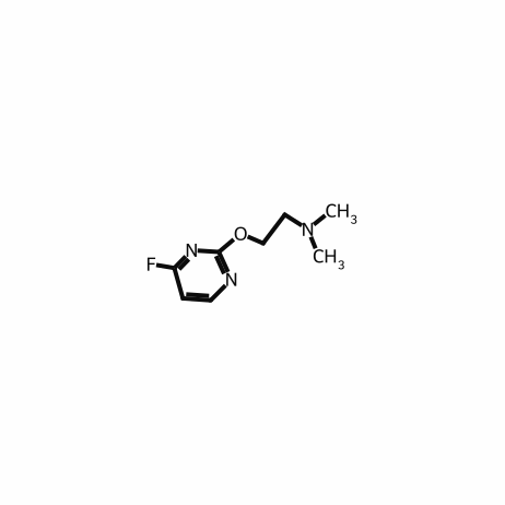 CN(C)CCOc1nccc(F)n1